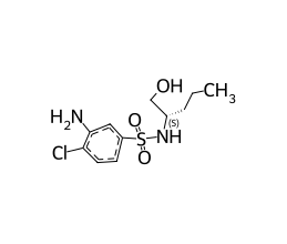 CCC[C@@H](CO)NS(=O)(=O)c1ccc(Cl)c(N)c1